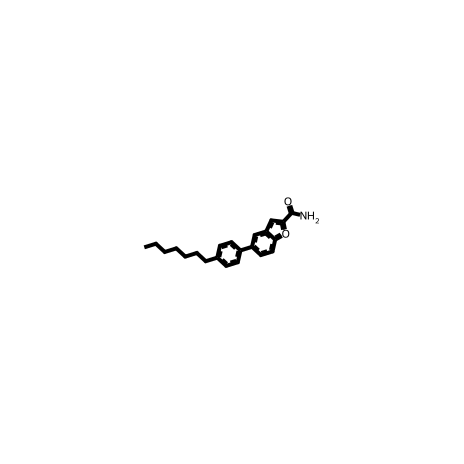 CCCCCCCc1ccc(-c2ccc3oc(C(N)=O)cc3c2)cc1